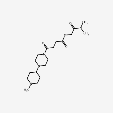 CN1CCC(N2CCN(C(=O)CCC(=O)OCC(=O)N(C)C)CC2)CC1